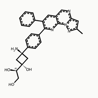 Cc1cc2ncc3cc(-c4ccccc4)c(-c4ccc([C@]5(N)C[C@@](O)([C@H](O)CO)C5)cc4)nc3n2n1